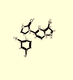 O=C1OC[C@@H](c2ccc(F)cc2F)N1c1ccn2ncc(Br)c2n1